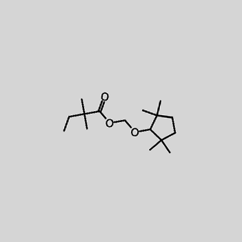 CCC(C)(C)C(=O)OCOC1C(C)(C)CCC1(C)C